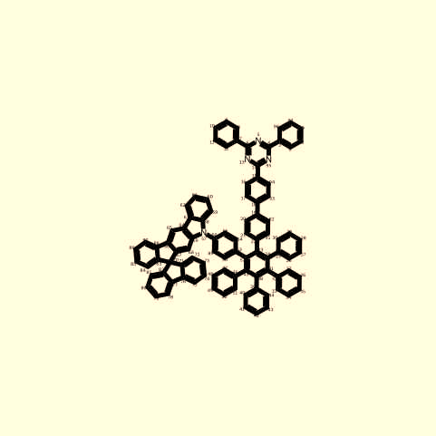 c1ccc(-c2nc(-c3ccccc3)nc(-c3ccc(-c4ccc(-c5c(-c6ccccc6)c(-c6ccccc6)c(-c6ccccc6)c(-c6ccccc6)c5-c5ccc(-n6c7ccccc7c7cc8c(cc76)C6(c7ccccc7-c7ccccc76)c6ccccc6-8)cc5)cc4)cc3)n2)cc1